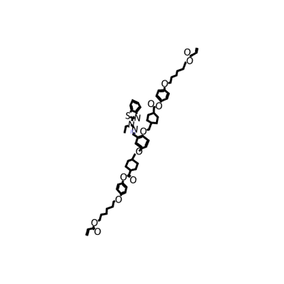 C=CC(=O)OCCCCCCOc1ccc(OC(=O)C2CCC(COc3ccc(OCC4CCC(C(=O)Oc5ccc(OCCCCCCOC(=O)C=C)cc5)CC4)c(/C=N/N(CC)c4nc5ccccc5s4)c3)CC2)cc1